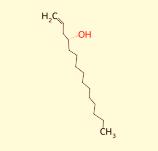 C=CC[C@H](O)CCCCCCCCCCC